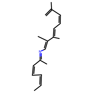 C=C(C)\C=C/C=C(C)/C(C)=C/N=C(C)/C=C\C=C/C